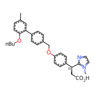 CCCCOc1ccc(C)cc1-c1ccc(COc2ccc([C@H](CC(=O)O)c3nccn3C)cc2)cc1